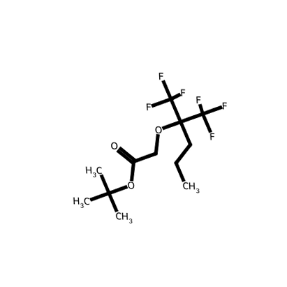 CCCC(OCC(=O)OC(C)(C)C)(C(F)(F)F)C(F)(F)F